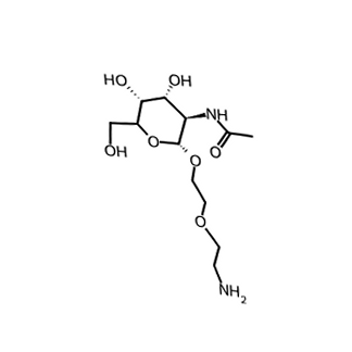 CC(=O)N[C@H]1[C@H](OCCOCCN)OC(CO)[C@H](O)[C@@H]1O